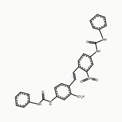 O=C(Nc1ccccc1)Nc1ccc(/C=C/c2ccc(NC(=O)Nc3ccccc3)cc2S(=O)(=O)O)c([SH](=O)=O)c1